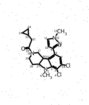 CN1c2c(Cl)c(Cl)cc(-c3ccn(C)n3)c2C2CN(C(=O)CC3CC3)CCC21